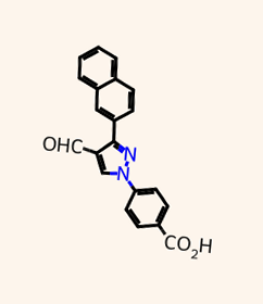 O=Cc1cn(-c2ccc(C(=O)O)cc2)nc1-c1ccc2ccccc2c1